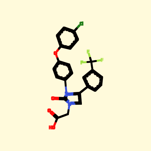 O=C(O)Cn1cc(-c2cccc(C(F)(F)F)c2)n(-c2ccc(Oc3ccc(Cl)cc3)cc2)c1=O